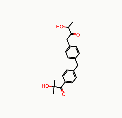 CC(O)C(=O)Cc1ccc(Cc2ccc(C(=O)C(C)(C)O)cc2)cc1